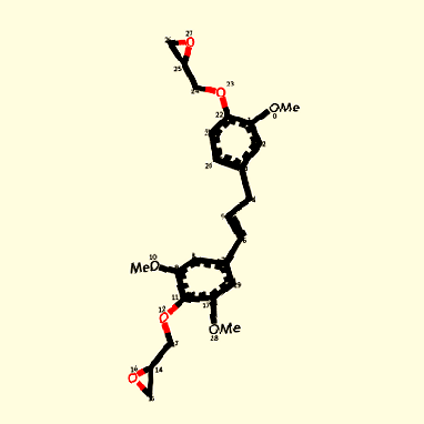 COc1cc(C/C=C/c2cc(OC)c(OCC3CO3)c(OC)c2)ccc1OCC1CO1